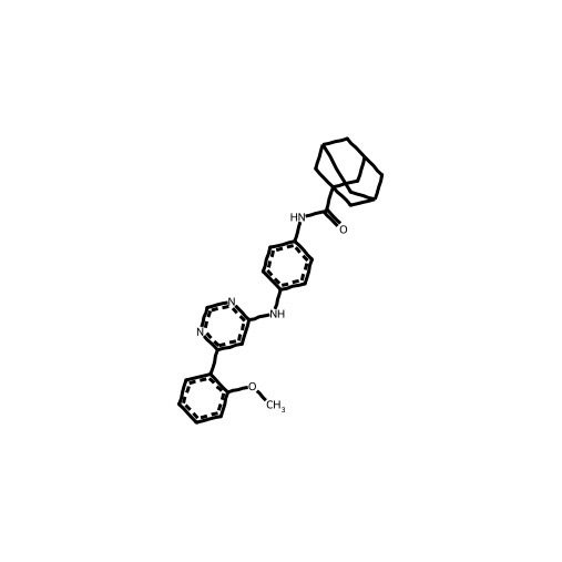 COc1ccccc1-c1cc(Nc2ccc(NC(=O)C34CC5CC(CC(C5)C3)C4)cc2)ncn1